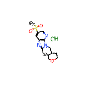 CC(C)S(=O)(=O)c1cnc2c(c1)nc(C(C)(C)C)n2CC1CCOCC1.Cl